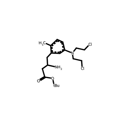 Cc1ccc(N(CCCl)CCCl)cc1CC(N)CC(=O)OC(C)(C)C